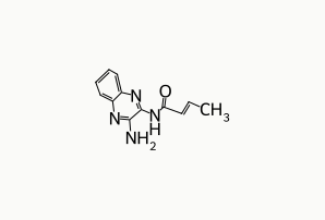 C/C=C/C(=O)Nc1nc2ccccc2nc1N